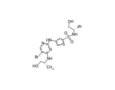 CC(C)[C@@H](CO)NS(=O)(=O)c1cc(Nc2ncc(Br)c(N[C@H](C)CO)n2)cs1